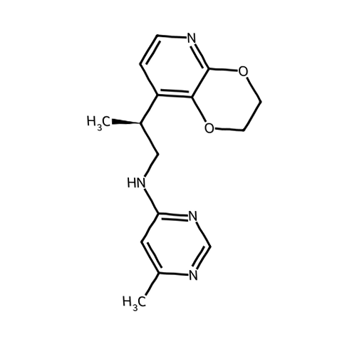 Cc1cc(NC[C@@H](C)c2ccnc3c2OCCO3)ncn1